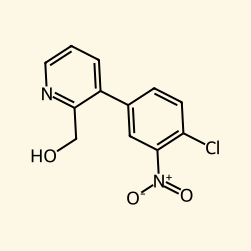 O=[N+]([O-])c1cc(-c2cccnc2CO)ccc1Cl